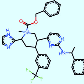 CC(Nc1nccc(C2C[N+](C)(C(=O)OCc3ccccc3)C(c3ncc[nH]3)CC2c2cccc(C(F)(F)F)c2)n1)c1ccccc1